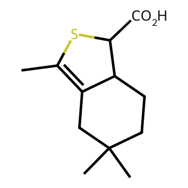 CC1=C2CC(C)(C)CCC2C(C(=O)O)S1